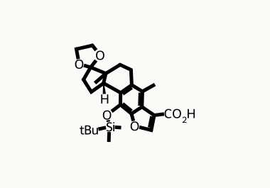 Cc1c2c(c(O[Si](C)(C)C(C)(C)C)c3occ(C(=O)O)c13)[C@@H]1CCC3(OCCO3)C1(C)CC2